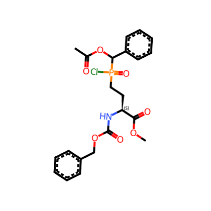 COC(=O)[C@H](CCP(=O)(Cl)C(OC(C)=O)c1ccccc1)NC(=O)OCc1ccccc1